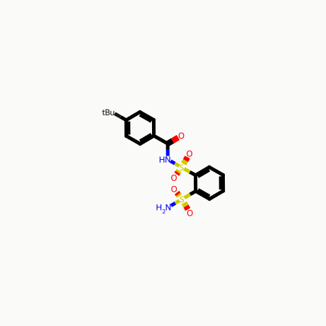 CC(C)(C)c1ccc(C(=O)NS(=O)(=O)c2ccccc2S(N)(=O)=O)cc1